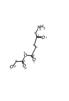 NCC(=O)CCC(=O)OC(=O)CCl